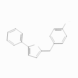 Oc1ccc(Cc2ccc(-c3ccccc3)o2)cc1